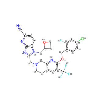 N#Cc1ccc2c(n1)nc(CN1CCc3cc(C(F)(F)F)c(OCc4ccc(Cl)cc4F)nc3C1)n2CC1CCO1